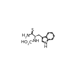 NC(=S)[C@@H](Cc1c[nH]c2ccccc12)NC(=O)O